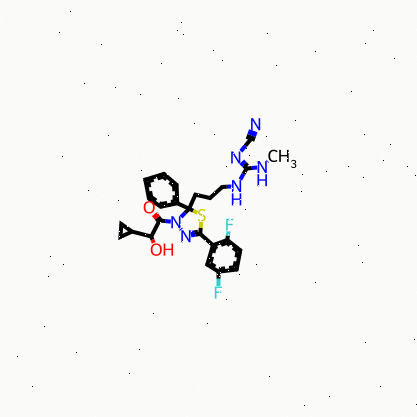 CNC(=NC#N)NCCCC1(c2ccccc2)SC(c2cc(F)ccc2F)=NN1C(=O)C(O)C1CC1